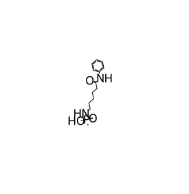 CP(=O)(O)NCCCCCC(=O)Nc1ccccc1